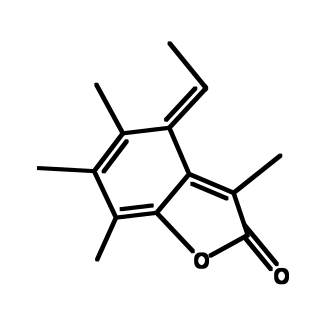 CC=c1c(C)c(C)c(C)c2c1=C(C)C(=O)O2